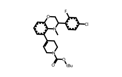 CN1c2c(cccc2C2=CCN(C(=O)OC(C)(C)C)CC2)OCC1c1ccc(Cl)cc1F